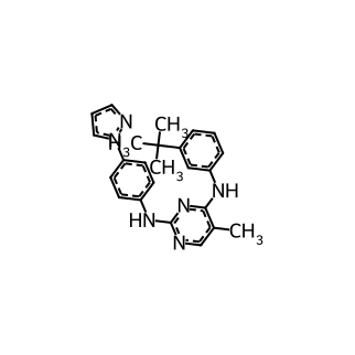 Cc1cnc(Nc2ccc(-n3cccn3)cc2)nc1Nc1cccc(C(C)(C)C)c1